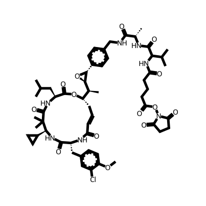 COc1ccc(C[C@H]2NC(=O)/C=C/C[C@@H]([C@H](C)[C@H]3O[C@@H]3c3ccc(CNC(=O)[C@H](C)NC(=O)C(NC(=O)CCCC(=O)ON4C(=O)CCC4=O)C(C)C)cc3)OC(=O)[C@H](CC(C)C)NC(=O)C(C)(C)[C@H](C3CC3)NC2=O)cc1Cl